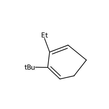 CCC1=CCCC=C1C(C)(C)C